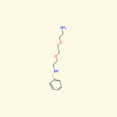 NCCOCCOCCNSc1ccccc1